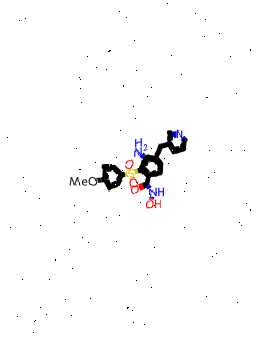 COc1ccc(S(=O)(=O)c2c(C(=O)NO)ccc(Cc3cccnc3)c2N)cc1